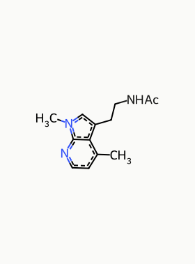 CC(=O)NCCc1cn(C)c2nccc(C)c12